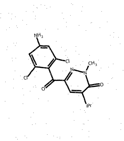 CC(C)c1cc(C(=O)c2c(Cl)cc(N)cc2Cl)nn(C)c1=O